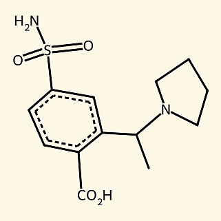 CC(c1cc(S(N)(=O)=O)ccc1C(=O)O)N1CCCC1